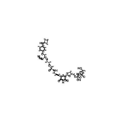 CP(=O)(O)OP(=O)(O)OP(=O)(O)OC[C@@H]1CC[C@H](n2cc(C#CCNC(=O)COCCOC(COc3ccc(NC4CCC4)cc3)N=[N+]=[N-])c(=O)[nH]c2=O)O1